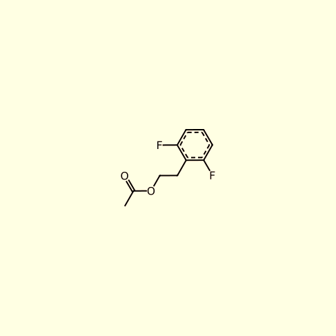 CC(=O)OCCc1c(F)cccc1F